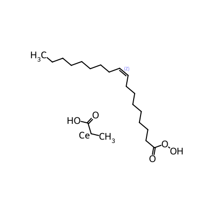 CCC(=O)O.CCCCCCCC/C=C\CCCCCCCC(=O)OO.[Ce]